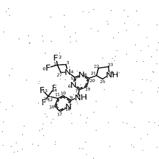 FC1(F)CN(c2nc(Nc3cc(C(F)(F)F)ccn3)cc(C3CCNC3)n2)C1